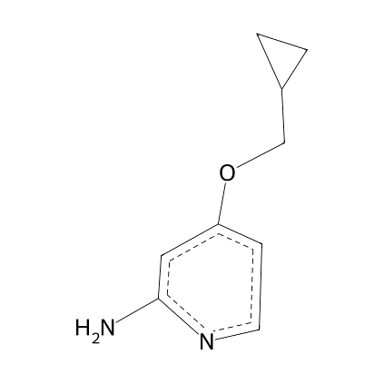 Nc1cc(OCC2CC2)ccn1